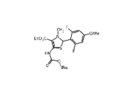 CCOC(=O)C1=C(NC(=O)OC(C)(C)C)SC(c2c(F)cc(OC)cc2F)N1C